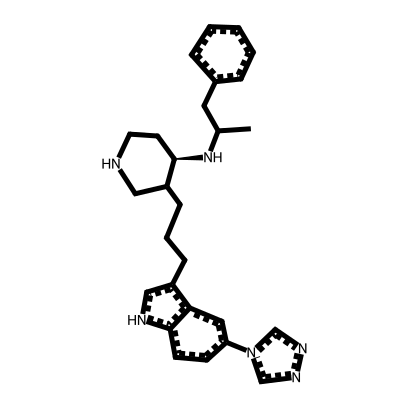 CC(Cc1ccccc1)N[C@@H]1CCNCC1CCCc1c[nH]c2ccc(-n3cnnc3)cc12